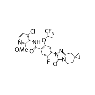 COc1nccc(Cl)c1NC(=O)c1cc(F)c(-n2nc3n(c2=O)CCC2(CC2)C3)cc1O[C@@H](C)C(F)(F)F